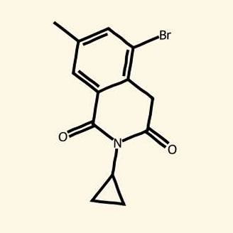 Cc1cc(Br)c2c(c1)C(=O)N(C1CC1)C(=O)C2